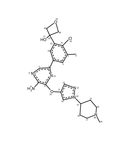 Cc1cc(-c2cnc(N)c(Oc3cnn(C4CCN(C)CC4)c3)n2)cc(C2(O)COC2)c1Cl